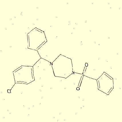 O=S(=O)(c1ccccc1)N1CCN(C(c2ccccc2)c2ccc(Cl)cc2)CC1